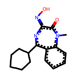 Cn1c(=O)c(=NO)nc(C2CCCCC2)c2ccccc21